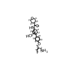 Cl.NC/C(=C\F)COc1ccc(C23CCC(NC(=O)C4CCOCC4)(CC2)CC3)cc1